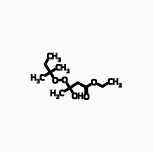 CCOC(=O)CC(C)(O)OOC(C)(C)CC